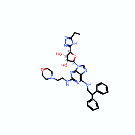 CCc1nnc([C@H]2O[C@@H](n3cnc4c(NCC(c5ccccc5)c5ccccc5)nc(NCCN5CCOCC5)nc43)[C@H](O)[C@@H]2O)[nH]1